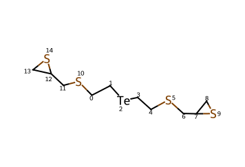 C(C[Te]CCSCC1CS1)SCC1CS1